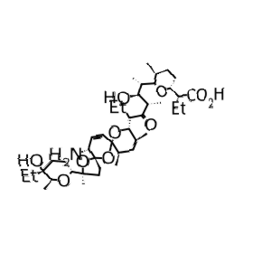 CCC(C(=O)[C@@H](C)[C@@H](O)[C@H](C)[C@@H]1O[C@@H]([C@@H](CC)C(=O)O)CC[C@@H]1C)[C@H]1O[C@]2(C=C[C@@H](N)[C@]3(CC[C@@](C)([C@H]4CC[C@](O)(CC)[C@H](C)O4)O3)O2)[C@H](C)C[C@@H]1C